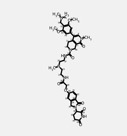 COc1cc(-c2cn(C)c(=O)c3c2CCN(C(=O)NCCN(C)CCNC(=O)COc2ccc4c(c2)CN(C2CCC(=O)NC2=O)C4=O)C3)cc(OC)c1CN(C)C